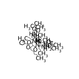 CCCCCC(OCc1ccccc1)C(C(=O)NC(N)(CCC)C(=O)C(C)NC(=O)OC(C)(C)C)C(=O)NC(N)(CCC)C(=O)C(C)NC(=O)OC(C)(C)C